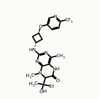 CCC(C)(O)C1C(=O)Nc2c(C)nc(N[C@H]3C[C@H](Oc4ccc(C(F)(F)F)nc4)C3)nc2N1C